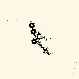 NC(=O)C(c1ccccc1OCCCCCC(=O)NO)N(C(=O)c1ccc(-c2ccccc2)cc1)C1CC1